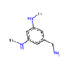 CCNc1[c]c(CN)cc(NCC)c1